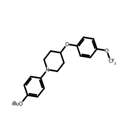 CC(C)COc1ccc(N2CCC(Oc3ccc(OC(F)(F)F)cc3)CC2)cc1